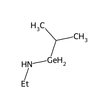 CC[NH][GeH2][CH](C)C